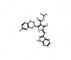 Cc1ccc2c(c1)CN(C1=C(C(=O)OC(C)C)C(=O)/C(=C/c3c[nH]c4ncccc34)O1)CC2